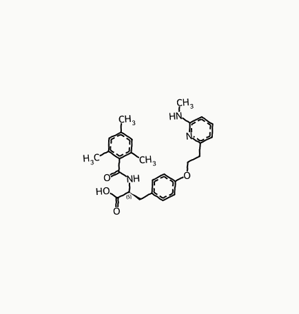 CNc1cccc(CCOc2ccc(C[C@H](NC(=O)c3c(C)cc(C)cc3C)C(=O)O)cc2)n1